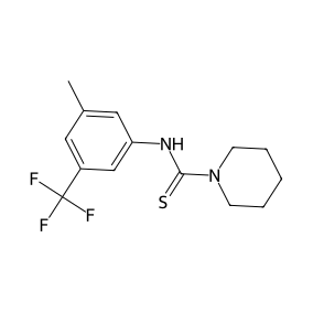 Cc1cc(NC(=S)N2CCCCC2)cc(C(F)(F)F)c1